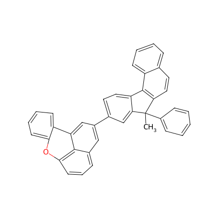 CC1(c2ccccc2)c2cc(-c3cc4c5c(cccc5c3)Oc3ccccc3-4)ccc2-c2c1ccc1ccccc21